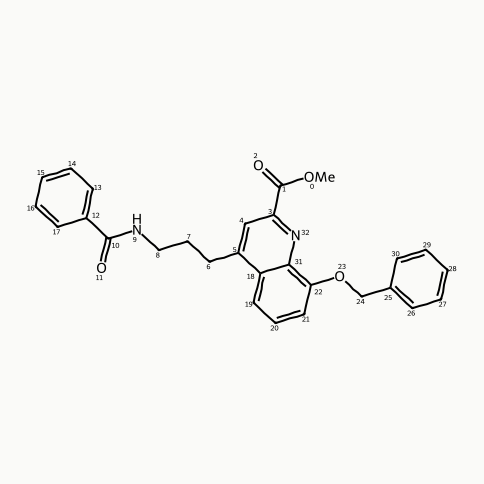 COC(=O)c1cc(CCCNC(=O)c2ccccc2)c2cccc(OCc3ccccc3)c2n1